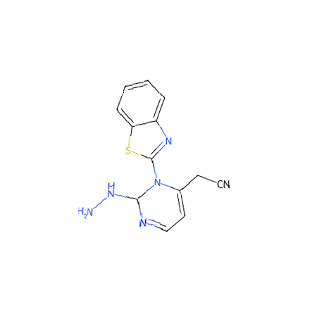 N#CCC1=CC=NC(NN)N1c1nc2ccccc2s1